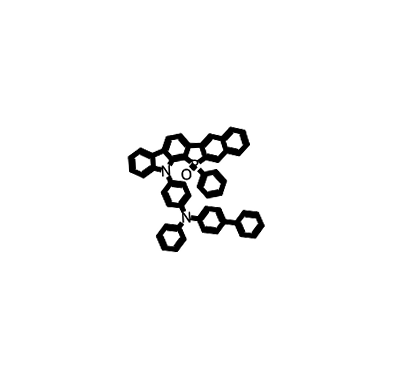 O=P1(c2ccccc2)c2cc3ccccc3cc2-c2ccc3c4ccccc4n(-c4ccc(N(c5ccccc5)c5ccc(-c6ccccc6)cc5)cc4)c3c21